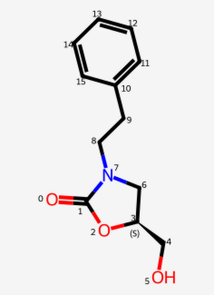 O=C1O[C@H](CO)CN1CCc1ccccc1